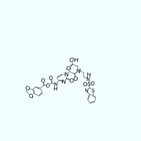 O=C(O)CN(CCNS(=O)(=O)c1nc2ccccc2s1)C(=O)Cn1ccc(NC(=O)OC(=O)c2ccc3c(c2)OCO3)nc1=O